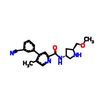 COC[C@@H]1C[C@@H](NC(=O)c2cc(-c3cccc(C#N)c3)c(C)cn2)CN1